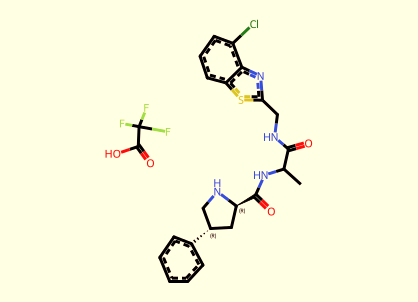 CC(NC(=O)[C@H]1C[C@H](c2ccccc2)CN1)C(=O)NCc1nc2c(Cl)cccc2s1.O=C(O)C(F)(F)F